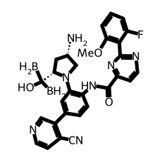 BC(B)(O)[C@@H]1C[C@H](N)CN1c1cc(-c2cnccc2C#N)ccc1NC(=O)c1ccnc(-c2c(F)cccc2OC)n1